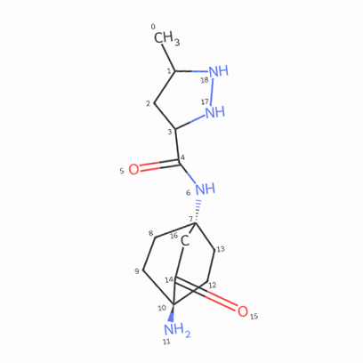 CC1CC(C(=O)N[C@]23CC[C@@](N)(CC2)C(=O)C3)NN1